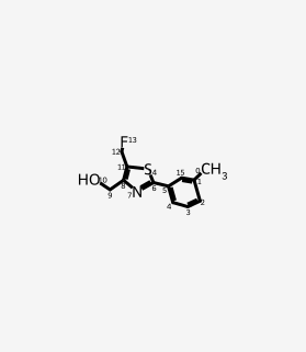 Cc1cccc(-c2nc(CO)c(CF)s2)c1